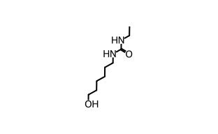 CCNC(=O)NCCCCCCO